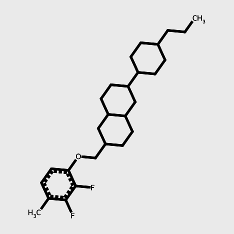 CCCC1CCC(C2CCC3CC(COc4ccc(C)c(F)c4F)CCC3C2)CC1